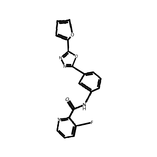 O=C(Nc1cccc(-c2nnc(-c3ccco3)o2)c1)c1ncccc1F